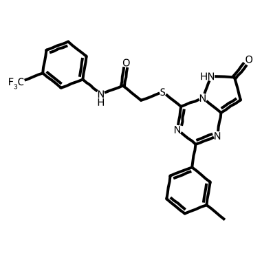 Cc1cccc(-c2nc(SCC(=O)Nc3cccc(C(F)(F)F)c3)n3[nH]c(=O)cc3n2)c1